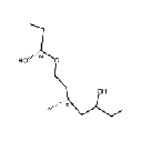 CCC(O)C[C@H](C)CCO[C@H](O)CC